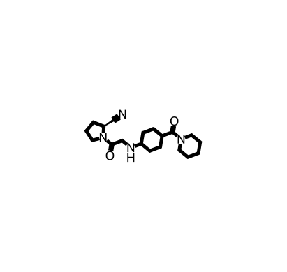 N#C[C@@H]1CCCN1C(=O)CNC1CCC(C(=O)N2CCCCC2)CC1